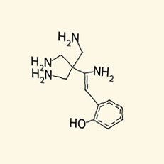 NCC(CN)(CN)C(N)=Cc1ccccc1O